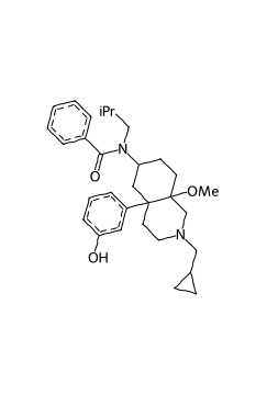 COC12CCC(N(CC(C)C)C(=O)c3ccccc3)CC1(c1cccc(O)c1)CCN(CC1CC1)C2